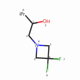 CC(C)C(O)CN1CC(F)(F)C1